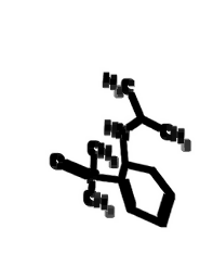 CC(C)NC1CC=CC=C1P(C)(C)=O